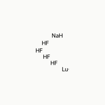 F.F.F.F.[Lu].[NaH]